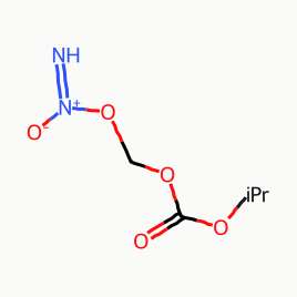 CC(C)OC(=O)OCO[N+](=N)[O-]